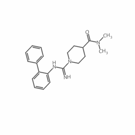 CN(C)C(=O)C1CCN(C(=N)Nc2ccccc2-c2ccccc2)CC1